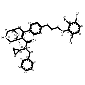 O=C(C1=C(c2ccc(CCCOc3c(F)ccc(F)c3F)cc2)CC2CNC[C@H]1N2)N(Cc1ccccc1)C1CC1